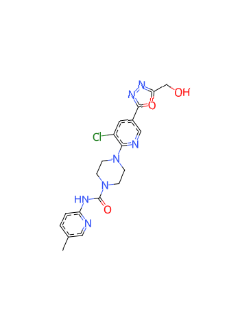 Cc1ccc(NC(=O)N2CCN(c3ncc(-c4nnc(CO)o4)cc3Cl)CC2)nc1